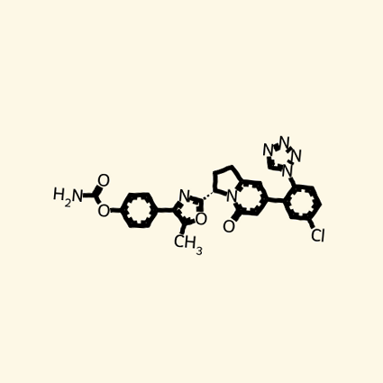 Cc1oc([C@@H]2CCc3cc(-c4cc(Cl)ccc4-n4cnnn4)cc(=O)n32)nc1-c1ccc(OC(N)=O)cc1